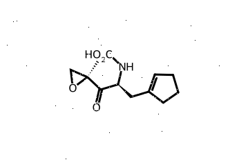 C[C@@]1(C(=O)[C@H](CC2=CCCC2)NC(=O)O)CO1